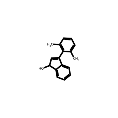 Cc1cccc(C)c1C1=CC(O)c2ccccc21